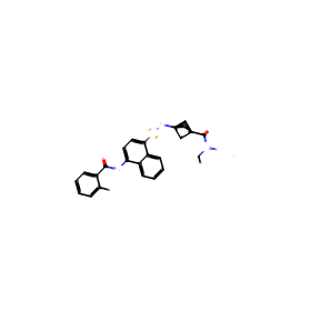 CCN(C)C(=O)C12CC(NS(=O)(=O)c3ccc(NC(=O)c4ccccc4C)c4ccccc34)(C1)C2